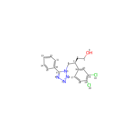 OCC[C@H](Cn1nnnc1-c1ccccc1)c1ccc(Cl)c(Cl)c1